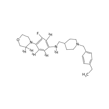 [2H]c1c([2H])c(N2CCOCC2([2H])[2H])c(F)c([2H])c1N([2H])CC1CCN(Cc2ccc(CC)cc2)CC1